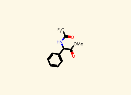 COC(=O)C(NC(=O)C(F)(F)F)c1ccccc1